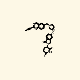 CC#Cc1ncc2cc(CN3CC[C@H](Oc4ccc5c(c4)CN(C4CCC(=O)NC4=O)C5=O)C3)ccc2n1